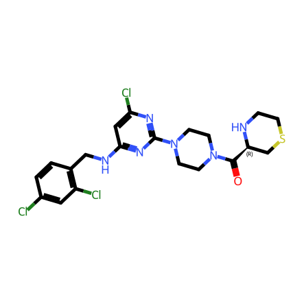 O=C([C@@H]1CSCCN1)N1CCN(c2nc(Cl)cc(NCc3ccc(Cl)cc3Cl)n2)CC1